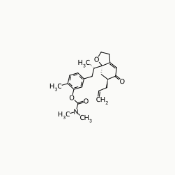 C=CC[C@H]1C[C@]2([C@@H](C)Cc3ccc(C)c(OC(=O)N(C)C)c3)OCCC2=CC1=O